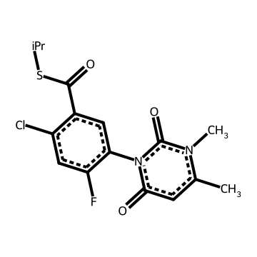 Cc1cc(=O)n(-c2cc(C(=O)SC(C)C)c(Cl)cc2F)c(=O)n1C